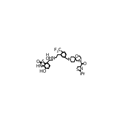 CC(C)C1=NC(C(=O)N2CCOC3(CCN(Cc4ccc(C(F)(F)F)c(CCNC[C@H](O)c5ccc(O)c6[nH]c(=O)sc56)c4)CC3)C2)CS1